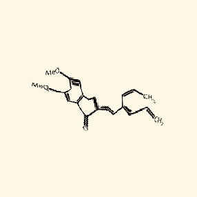 C=C/C=C(\C=C/C)/C=C1\Cc2cc(OC)c(OC)cc2C1=O